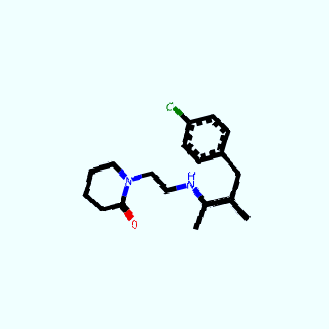 CC(Cc1ccc(Cl)cc1)C(C)NCCN1CCCCC1=O